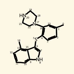 Cc1ccc(Sc2c[nH]c3cccc(C)c23)c(N2CCNCC2)c1